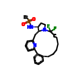 CCS(=O)(=O)NC1CCN2C1Cc1cccc(n1)-c1ccccc1CCCCCCC2(F)F